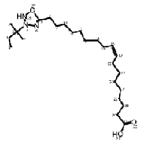 CCC(C)(C)N1N=C(CCCCCCCC/C=C\CCCCCCCC(=O)O)ON1